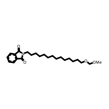 COCOCCCCCCCCCCCCCCN1C(=O)c2ccccc2C1=O